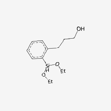 CCO[SiH](OCC)c1ccccc1CCCO